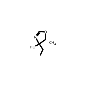 C.CCC1(O)COC=N1